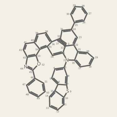 c1c(N(c2ccc3c(c2)sc2ccccc23)c2ccccc2C2=CC(c3ccccc3)=CCC2)cc2c(c#1)ccc1ccc3nc(-c4ccccc4)oc3c12